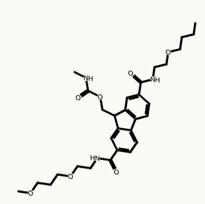 CCCCOCCNC(=O)c1ccc2c(c1)C(COC(=O)NC)c1cc(C(=O)NCCOCCCOC)ccc1-2